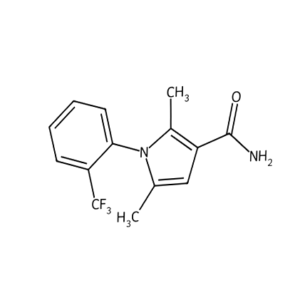 Cc1cc(C(N)=O)c(C)n1-c1ccccc1C(F)(F)F